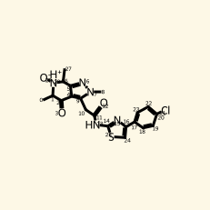 CC1C(=O)c2c(nn(C)c2CC(=O)Nc2nc(-c3ccc(Cl)cc3)cs2)C(C)[NH+]1[O-]